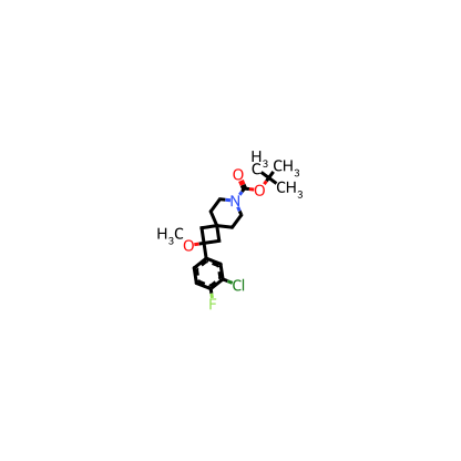 COC1(c2ccc(F)c(Cl)c2)CC2(CCN(C(=O)OC(C)(C)C)CC2)C1